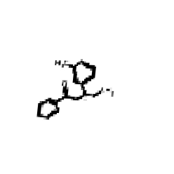 CC[C@@H](CC(=O)c1ccccc1)c1cccc(C)c1